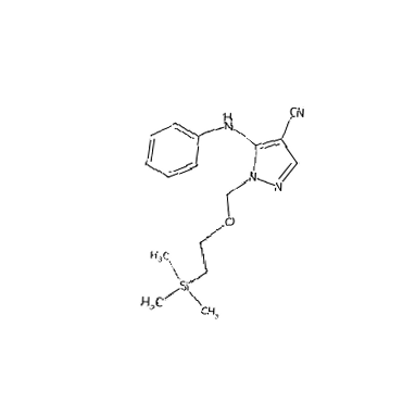 C[Si](C)(C)CCOCn1ncc(C#N)c1Nc1ccccc1